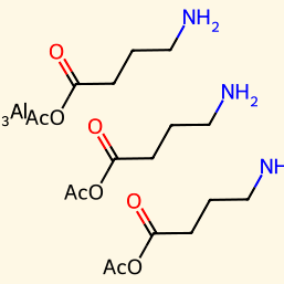 CC(=O)OC(=O)CCCN.CC(=O)OC(=O)CCCN.CC(=O)OC(=O)CCCN.[AlH3]